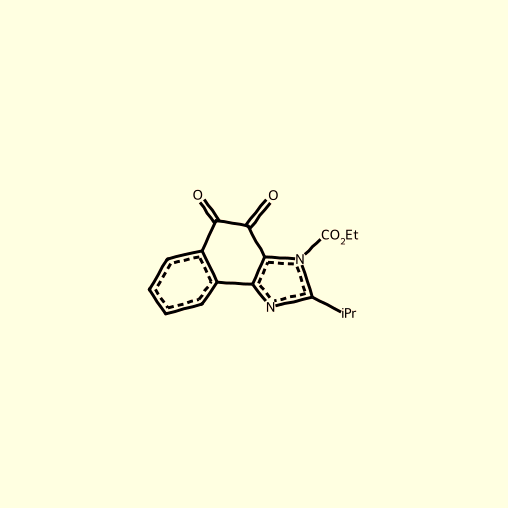 CCOC(=O)n1c(C(C)C)nc2c1C(=O)C(=O)c1ccccc1-2